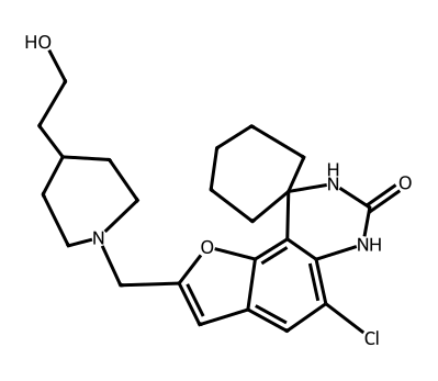 O=C1Nc2c(Cl)cc3cc(CN4CCC(CCO)CC4)oc3c2C2(CCCCC2)N1